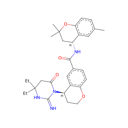 CCC1(CC)CC(=O)N([C@@H]2CCOc3ccc(C(=O)N[C@@H]4CC(C)(C)Oc5ccc(C)cc54)cc32)C(=N)N1